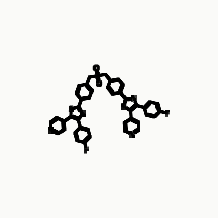 O=S(=O)(Cc1ccc(-c2nc(-c3ccc(F)cc3)c(-c3ccncc3)s2)cc1)Cc1ccc(-c2nc(-c3ccc(F)cc3)c(-c3ccncc3)s2)cc1